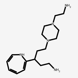 NCCC(CCN1CCN(CCN)CC1)C1=CC=CC=CN1